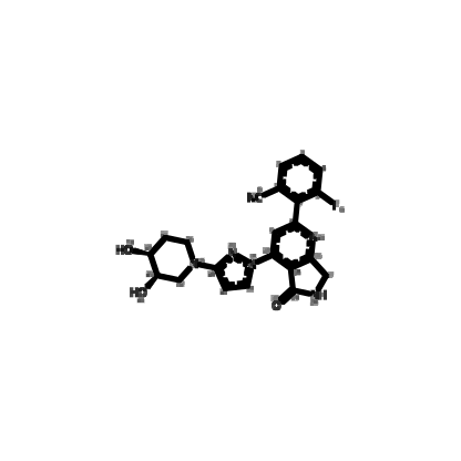 N#Cc1cccc(F)c1-c1cc(-n2ccc(N3CC[C@H](O)[C@H](O)C3)n2)c2c(n1)CNC2=O